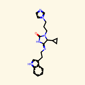 O=C1NC(=NCCc2c[nH]c3ccccc23)C(C2CC2)N1CCCn1ccnc1